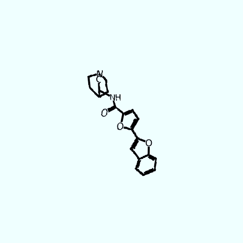 O=C(NC1CN2CCC1CC2)c1ccc(-c2cc3ccccc3o2)o1